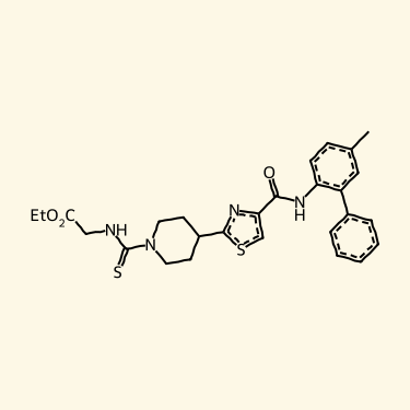 CCOC(=O)CNC(=S)N1CCC(c2nc(C(=O)Nc3ccc(C)cc3-c3ccccc3)cs2)CC1